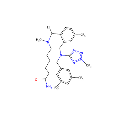 CCC(c1ccc(C(F)(F)F)cc1CN(Cc1cc(C(F)(F)F)cc(C(F)(F)F)c1)c1nnn(C)n1)N(C)CCCCCC(N)=O